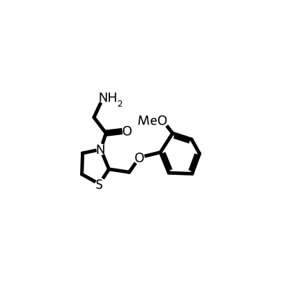 COc1ccccc1OCC1SCCN1C(=O)CN